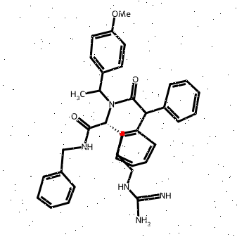 COc1ccc(C(C)N(C(=O)C(c2ccccc2)c2ccccc2)[C@H](CCCNC(=N)N)C(=O)NCc2ccccc2)cc1